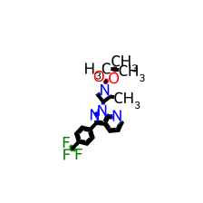 CC1C(n2nc(-c3ccc(C(F)(F)F)cc3)c3cccnc32)CN1C(=O)OC(C)(C)C